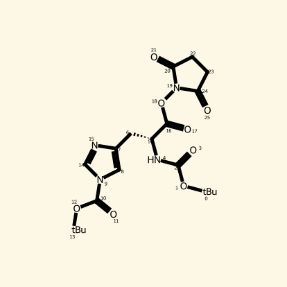 CC(C)(C)OC(=O)N[C@H](Cc1cn(C(=O)OC(C)(C)C)cn1)C(=O)ON1C(=O)CCC1=O